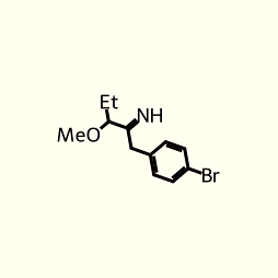 CCC(OC)C(=N)Cc1ccc(Br)cc1